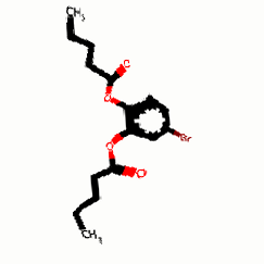 CCCCC(=O)Oc1ccc(Br)cc1OC(=O)CCCC